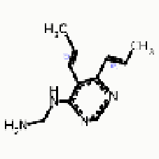 C/C=C/c1ncnc(NCN)c1/C=C/C